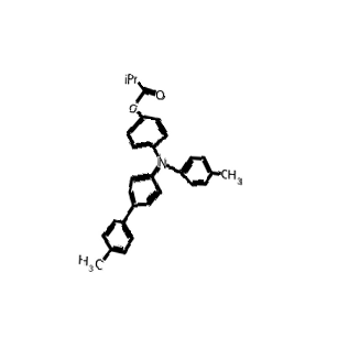 Cc1ccc(-c2ccc(N(c3ccc(C)cc3)c3ccc(OC(=O)C(C)C)cc3)cc2)cc1